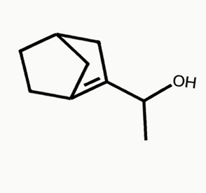 CC(O)C1=C2CCC(C2)C1